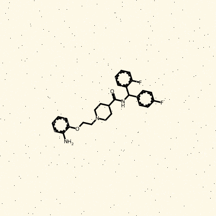 Nc1ccccc1OCCN1CCC(C(=O)NC(c2ccc(F)cc2)c2ccccc2F)CC1